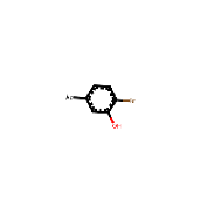 CC(=O)c1ccc(Br)c(O)c1